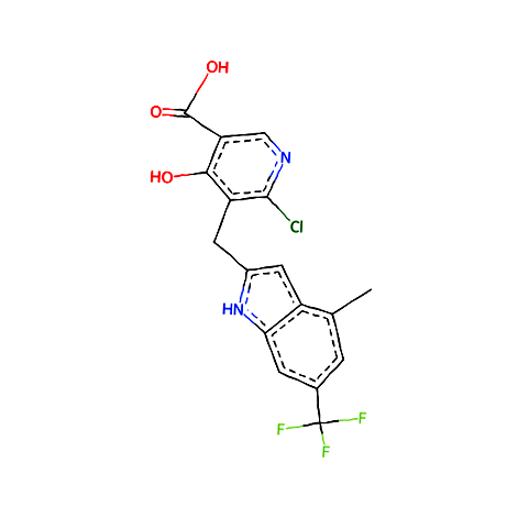 Cc1cc(C(F)(F)F)cc2[nH]c(Cc3c(Cl)ncc(C(=O)O)c3O)cc12